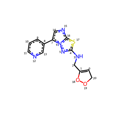 C1=C(CNc2nn3c(-c4cccnc4)cnc3s2)OOC1